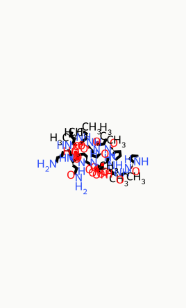 CC(C)C[C@H](NC(=O)[C@@H]1CCCN1C(=O)[C@@H](NC(=O)[C@@H]1CCCN1C(=O)[C@H](CCC(=O)O)NC(=O)[C@H](C)NC(=O)[C@H](C)NC(=O)[C@@H]1CCCN1)C(C)C)C(=O)N[C@H](C(=O)N[C@@H](CCCCN)C(=O)N[C@@H](CCC(N)=O)C(=O)N[C@@H](CCC(=O)O)C(=O)N[C@@H](C)C(=O)O)C(C)C